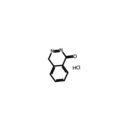 Cl.O=C1N=NCc2ccccc21